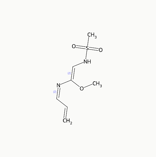 C=C/C=N\C(=C\NS(C)(=O)=O)OC